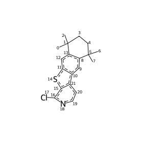 CC1(C)CCC(C)(C)c2cc3c(cc21)sc1c(Cl)nccc13